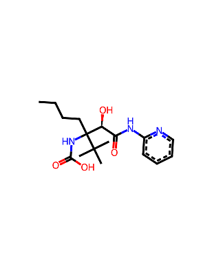 CCCCC(NC(=O)O)([C@@H](O)C(=O)Nc1ccccn1)C(C)(C)C